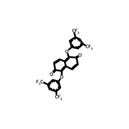 O=C1C=CC2=C(Oc3cc(C(F)(F)F)cc(C(F)(F)F)c3)C(=O)C=CC2=C1Oc1cc(C(F)(F)F)cc(C(F)(F)F)c1